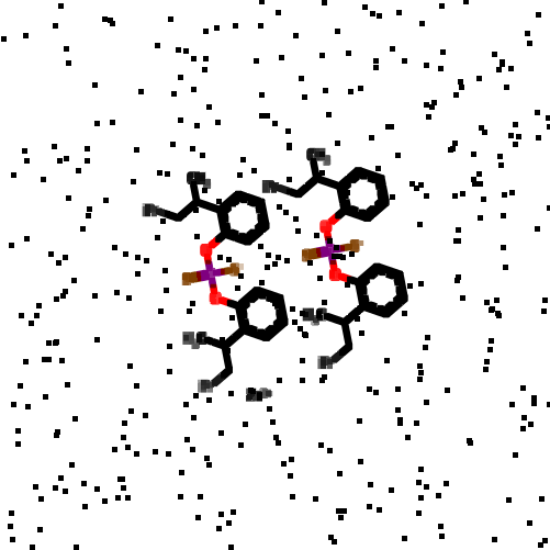 CC(C)CC(C)c1ccccc1OP(=S)([S-])Oc1ccccc1C(C)CC(C)C.CC(C)CC(C)c1ccccc1OP(=S)([S-])Oc1ccccc1C(C)CC(C)C.[Zn+2]